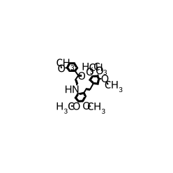 COc1cccc(C(=O)C=CNc2cc(OC)c(OC)cc2C=Cc2cc(OC)c(OC)c(OC)c2)c1